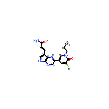 NC(=O)C=Cc1c[nH]c2ncc(-c3cc(F)c(=O)n(CCC(F)(F)F)c3)nc12